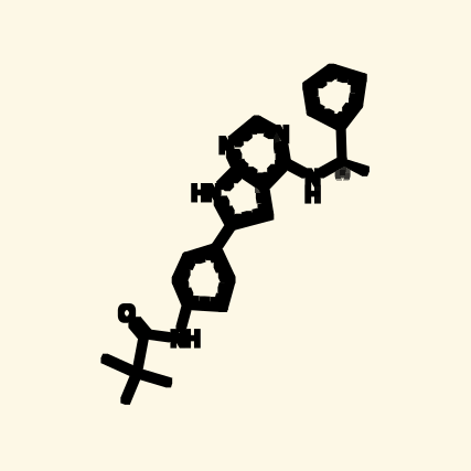 C[C@@H](Nc1ncnc2[nH]c(-c3ccc(NC(=O)C(C)(C)C)cc3)cc12)c1ccccc1